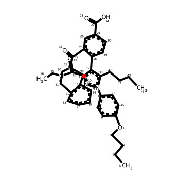 CCCCOc1ccc(-n2nc(C(=O)OCC)c(-c3ccc(C(=O)O)cc3C(=O)N3CCc4ccccc4C3)c2CCCC)cc1